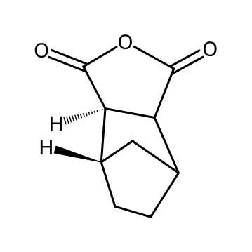 O=C1OC(=O)[C@H]2C1C1CC[C@H]2C1